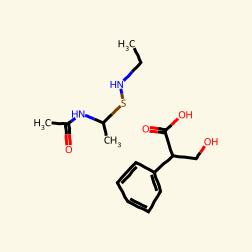 CCNSC(C)NC(C)=O.O=C(O)C(CO)c1ccccc1